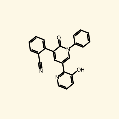 N#Cc1ccccc1-c1cc(-c2ncccc2O)cn(-c2ccccc2)c1=O